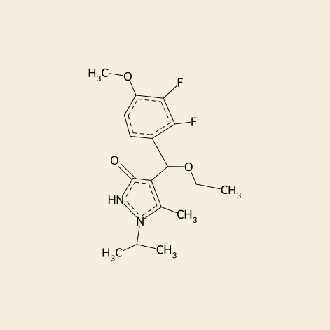 CCOC(c1ccc(OC)c(F)c1F)c1c(C)n(C(C)C)[nH]c1=O